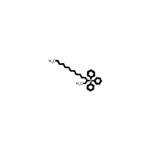 CCCCCCCCCCCCC(CC)[N+](c1ccccc1)(c1ccccc1)c1ccccc1